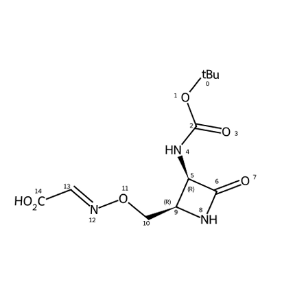 CC(C)(C)OC(=O)N[C@H]1C(=O)N[C@H]1CON=CC(=O)O